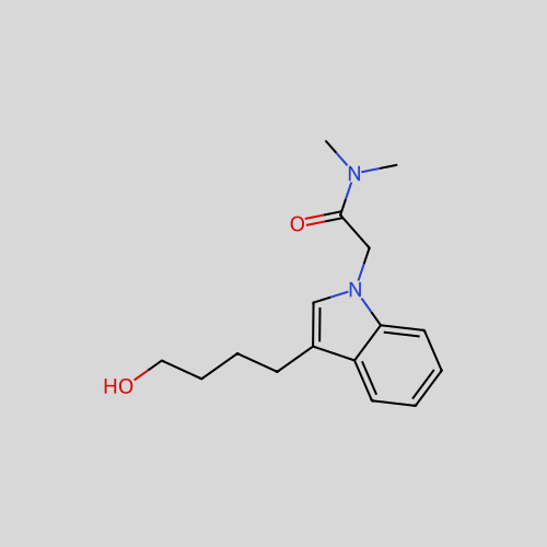 CN(C)C(=O)Cn1cc(CCCCO)c2ccccc21